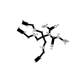 C#CCOCC(COCC#C)(COCC#C)N(C(=O)CCC)C(=O)OC(C)(C)C